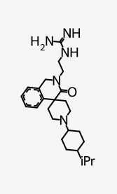 CC(C)C1CCC(N2CCC3(CC2)C(=O)N(CCNC(=N)N)Cc2ccccc23)CC1